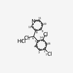 Cl.Clc1ccc(C(Cl)c2cccnc2)c(Cl)c1